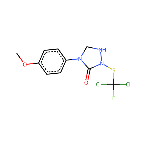 COc1ccc(N2CNN(SC(F)(Cl)Cl)C2=O)cc1